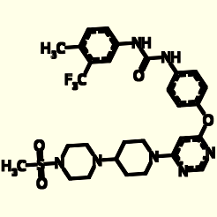 Cc1ccc(NC(=O)Nc2ccc(Oc3cc(N4CCC(N5CCN(S(C)(=O)=O)CC5)CC4)ncn3)cc2)cc1C(F)(F)F